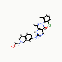 Cc1cccc(Cl)c1-n1nc(C)c2nc(Nc3ccc4c(c3)CN(CCO)CC4)ncc2c1=O